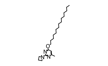 CCCCCCCCCCCCCCCOc1cc(C)nc(N2CCC2)n1